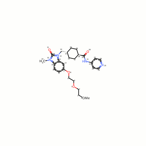 COCCOCCOc1ccc2c(c1)n(C[C@H]1CC[C@H](C(=O)Nc3ccncc3)CC1)c(=O)n2C